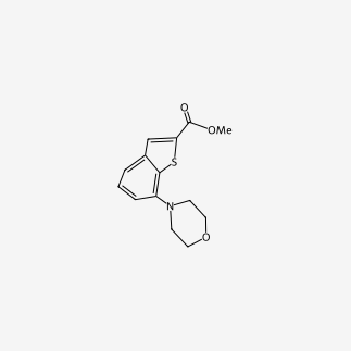 COC(=O)c1cc2cccc(N3CCOCC3)c2s1